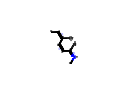 C\C=C(/C=C\C(CC)=N/C)C(C)C